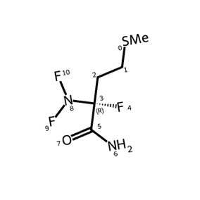 CSCC[C@@](F)(C(N)=O)N(F)F